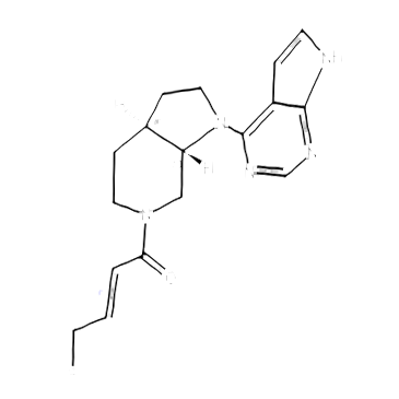 O=C(/C=C/CF)N1CC[C@H]2CCN(c3ncnc4[nH]ccc34)[C@@H]2C1